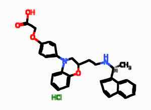 C[C@@H](NCCC1CN(c2ccc(OCC(=O)O)cc2)c2ccccc2O1)c1cccc2ccccc12.Cl